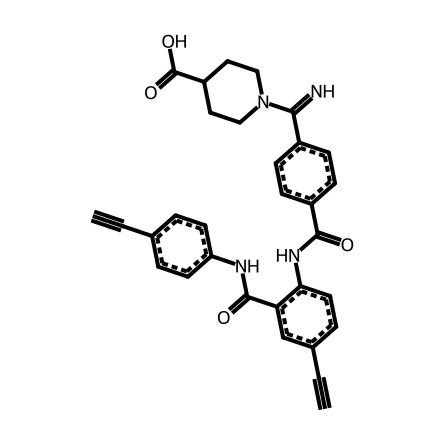 C#Cc1ccc(NC(=O)c2cc(C#C)ccc2NC(=O)c2ccc(C(=N)N3CCC(C(=O)O)CC3)cc2)cc1